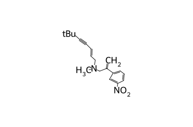 C=C(CN(C)C/C=C/C#CC(C)(C)C)c1cccc([N+](=O)[O-])c1